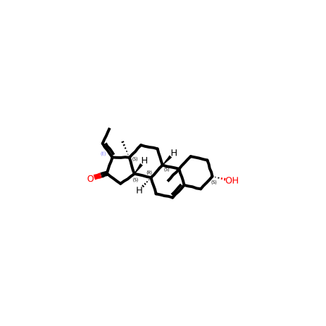 C/C=C1/C(=O)C[C@H]2[C@@H]3CC=C4C[C@@H](O)CCC4(C)[C@H]3CC[C@]12C